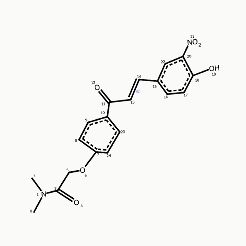 CN(C)C(=O)COc1ccc(C(=O)/C=C/c2ccc(O)c([N+](=O)[O-])c2)cc1